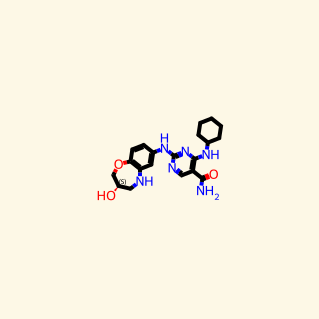 NC(=O)c1cnc(Nc2ccc3c(c2)NC[C@H](O)CO3)nc1NC1CCCCC1